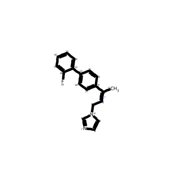 C/C(=C/Cn1ccnc1)c1ccc(-c2ccccc2F)cc1